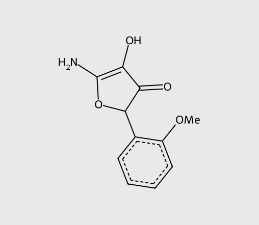 COc1ccccc1C1OC(N)=C(O)C1=O